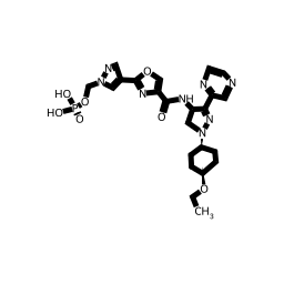 CCO[C@H]1CC[C@H](N2CC(NC(=O)c3coc(-c4cnn(COP(=O)(O)O)c4)n3)C(c3cnccn3)=N2)CC1